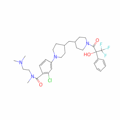 CN(C)CCN(C)C(=O)c1ccc(N2CCC(CC3CCN(C(=O)C(O)(c4ccccc4)C(F)(F)F)CC3)CC2)cc1Cl